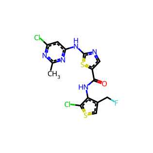 Cc1nc(Cl)cc(Nc2ncc(C(=O)Nc3c(CF)csc3Cl)s2)n1